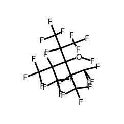 FOC(C(F)(C(F)(F)F)C(F)(F)F)(C(F)(C(F)(F)F)C(F)(F)F)C(F)(C(F)(F)F)C(F)(F)F